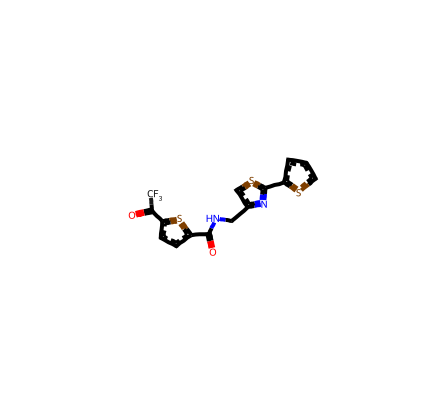 O=C(NCc1csc(-c2cccs2)n1)c1ccc(C(=O)C(F)(F)F)s1